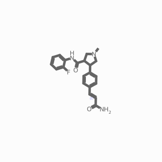 CN1CC(C(=O)Nc2ccccc2F)C(c2ccc(/C=C/C(N)=O)cc2)C1